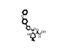 O=C(NO)[C@H]1CC2(CC2)CN[C@@H]1C(=O)N1CCC(c2ccc(Oc3ccccc3)cc2)C1